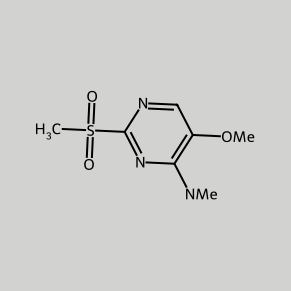 CNc1nc(S(C)(=O)=O)ncc1OC